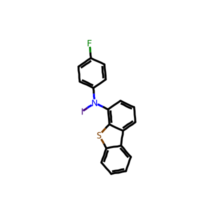 Fc1ccc(N(I)c2cccc3c2sc2ccccc23)cc1